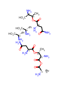 CC(C)[C@H](N)C(=O)O.CC(C)[C@H](N)C(=O)O.CC[C@H](C)[C@H](N)C(=O)OC(=O)[C@@H](N)[C@@H](C)OC(=O)[C@@H](N)CC(N)=O.C[C@@H](OC(=O)[C@@H](N)CC(N)=O)[C@H](N)C(=O)O